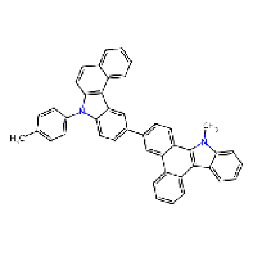 Cc1ccc(-n2c3ccc(-c4ccc5c(c4)c4ccccc4c4c6ccccc6n(C)c54)cc3c3c4ccccc4ccc32)cc1